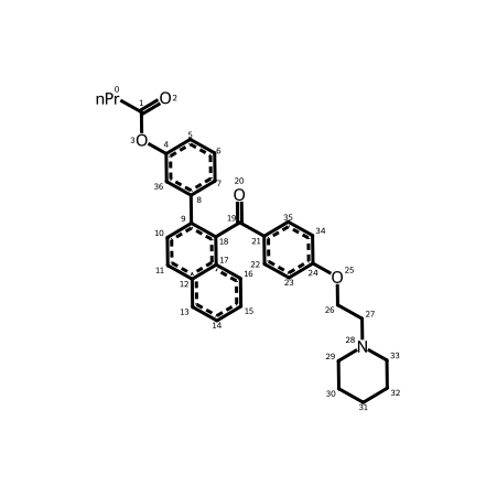 CCCC(=O)Oc1cccc(-c2ccc3ccccc3c2C(=O)c2ccc(OCCN3CCCCC3)cc2)c1